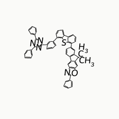 CC1(C)c2cc(-c3cccc4c3sc3c(-c5cccc(-c6nc(-c7ccccc7)nc(-c7ccccc7)n6)c5)cccc34)ccc2-c2cc3nc(-c4ccccc4)oc3cc21